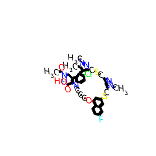 CC(=O)NCc1c(C(=O)O)n2c3ccc(Cl)c(c13)-c1c(nn(C)c1C)CSCc1cc(n(C)n1)CSc1cc(c3ccc(F)cc3c1)OCCC2